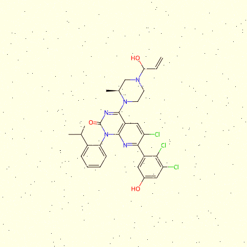 C=CC(O)N1CCN(c2nc(=O)n(-c3ccccc3C(C)C)c3nc(-c4cc(O)cc(Cl)c4Cl)c(Cl)cc23)[C@@H](C)C1